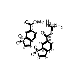 COC(=O)c1ccc2c(c1)S(=O)(=O)C=C2.NC(N)=NC(=O)c1ccc2c(c1)S(=O)(=O)C=C2